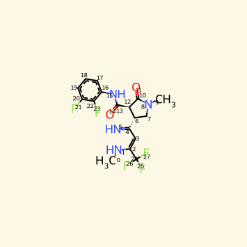 CN/C(=C\C(=N)[C@H]1CN(C)C(=O)[C@@H]1C(=O)Nc1cccc(F)c1F)C(F)(F)F